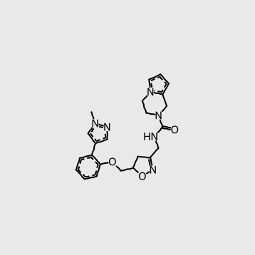 Cn1cc(-c2ccccc2OCC2CC(CNC(=O)N3CCn4cccc4C3)=NO2)cn1